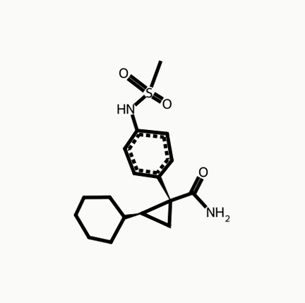 CS(=O)(=O)Nc1ccc([C@@]2(C(N)=O)C[C@H]2C2CCCCC2)cc1